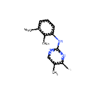 COc1cccc(Nc2ncc(C)c(C(C)(C)C)n2)c1OC